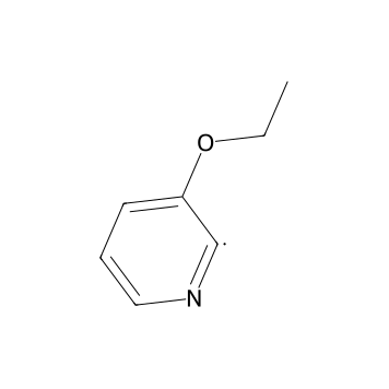 CCOc1[c]nccc1